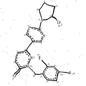 O=c1ccc(-c2cnc(N3CCCC3C(F)(F)F)nc2)nn1Cc1ccc(F)cc1F